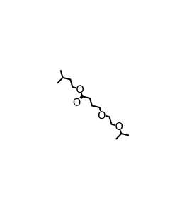 CC(C)CCOC(=O)CCCOCCOC(C)C